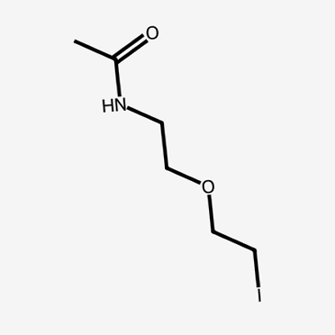 CC(=O)NCCOCCI